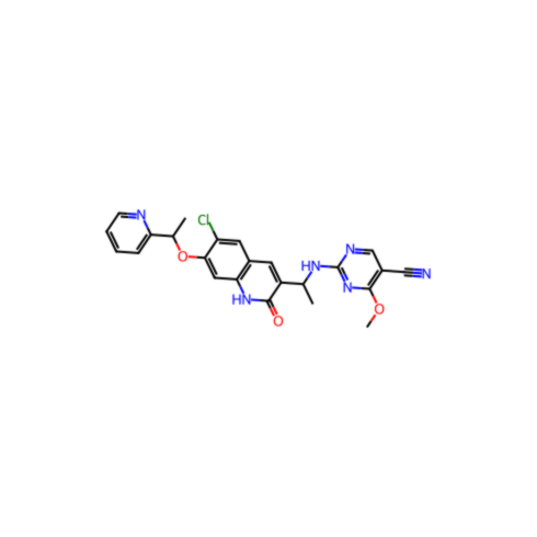 COc1nc(NC(C)c2cc3cc(Cl)c(OC(C)c4ccccn4)cc3[nH]c2=O)ncc1C#N